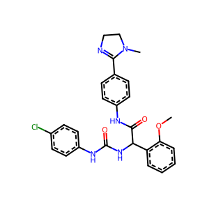 COc1ccccc1C(NC(=O)Nc1ccc(Cl)cc1)C(=O)Nc1ccc(C2=NCCN2C)cc1